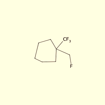 FCC1(C(F)(F)F)CCCCC1